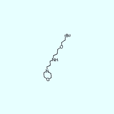 CC(C)(C)CCOCCCNCCCN1CCOCC1